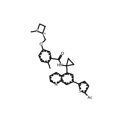 CC(=O)c1ccc(-c2cc(C3(NC(=O)c4cc(OC[C@@H]5CCN5C)ccc4C)CC3)c3cccnc3c2)s1